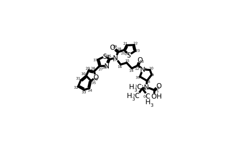 CC(C)(C)N(C(=O)O)C1CCN(C(=O)CCCN(C(=O)c2cccs2)c2nc(-c3cc4ccccc4o3)cs2)C1